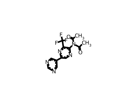 CC(=O)N(C(C)=O)c1ncc(-c2cncnc2)nc1C(F)(F)F